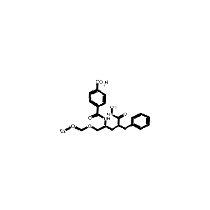 CCOCOCC(CC(Cc1ccccc1)C(=O)NO)NC(=O)c1ccc(C(=O)O)cc1